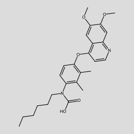 CCCCCCN(C(=O)O)c1ccc(Oc2ccnc3cc(OC)c(OC)cc23)c(C)c1C